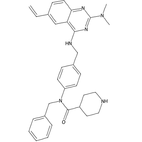 C=Cc1ccc2nc(N(C)C)nc(NCc3ccc(N(Cc4ccccc4)C(=O)C4CCNCC4)cc3)c2c1